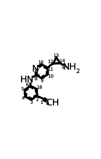 C#Cc1cccc(Nc2ccc(C3CC3N)cn2)c1